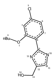 CCCCOc1cc(Cl)ccc1-c1nsc(CO)n1